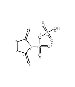 O=C1CCC(=O)N1S(=O)(=O)OS(=O)(=O)O